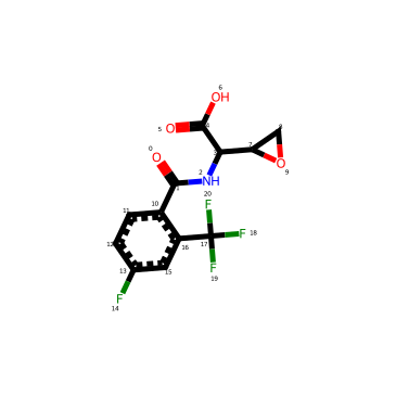 O=C(NC(C(=O)O)C1CO1)c1ccc(F)cc1C(F)(F)F